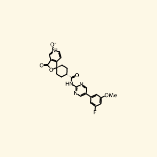 COc1cc(F)cc(-c2cnc(NC(=O)[C@H]3CC[C@@]4(CC3)OC(=O)c3c[n+]([O-])ccc34)nc2)c1